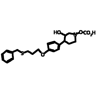 O=C(O)ON1CCC(c2ccc(OCCCSCc3ccccc3)cc2)C(O)C1